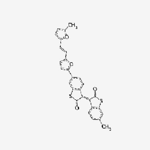 Cc1ccc2c(c1)SC(=O)/C2=C1/C(=O)Sc2cc(-c3ccc(/C=C/c4ccc(C)o4)o3)ccc21